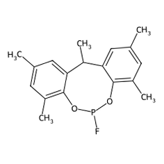 Cc1cc(C)c2c(c1)C(C)c1cc(C)cc(C)c1OP(F)O2